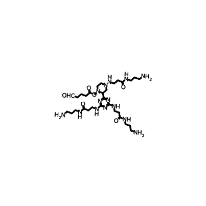 NCCCNC(=O)CCNc1nc(NCCC(=O)NCCCN)nc(C2CN(NCCC(=O)NCCCN)CCN2OC(=O)CCCC=O)n1